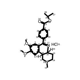 COc1cc2c(cc1OC)[C@H]1CN(C)CC[C@H]1N=C2c1ccc(C(=O)OC(C)C)cc1.Cl